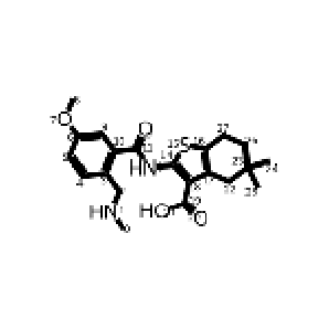 CNCc1ccc(OC)cc1C(=O)Nc1sc2c(c1C(=O)O)CC(C)(C)CC2